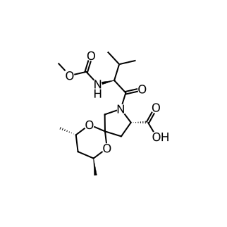 COC(=O)N[C@H](C(=O)N1CC2(C[C@H]1C(=O)O)O[C@@H](C)C[C@H](C)O2)C(C)C